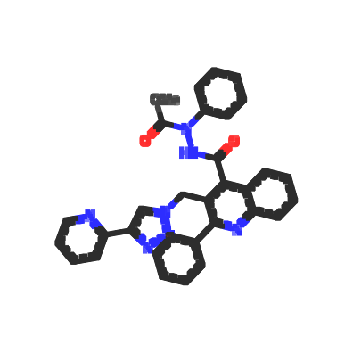 COC(=O)N(NC(=O)c1c(Cn2cc(-c3ccccn3)nn2)c(-c2ccccc2)nc2ccccc12)c1ccccc1